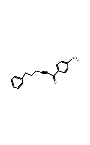 O=C(C#CCCCc1ccccc1)c1ccc([N+](=O)[O-])cc1